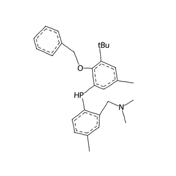 Cc1ccc(Pc2cc(C)cc(C(C)(C)C)c2OCc2ccccc2)c(CN(C)C)c1